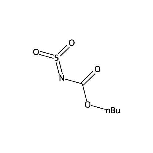 CCCCOC(=O)N=S(=O)=O